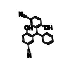 N#Cc1ccc(O)c(C(c2ccccc2)c2cc(C#N)ccc2O)c1